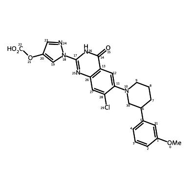 COc1cccc(C2CCCN(c3cc4c(=O)[nH]c(-n5cc(OC(=O)O)cn5)nc4cc3Cl)C2)c1